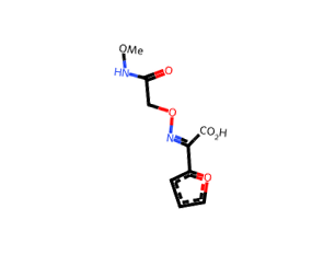 CONC(=O)CON=C(C(=O)O)c1ccco1